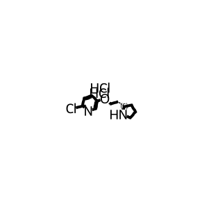 Cl.Cl.Clc1ccc(OCC[C@@H]2CCCN2)cn1